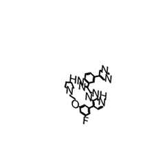 Fc1cc(OCCN2CCCC2)cc(-c2ccnc3[nH]c(-c4n[nH]c5ccc(-c6cncnc6)cc45)nc23)c1